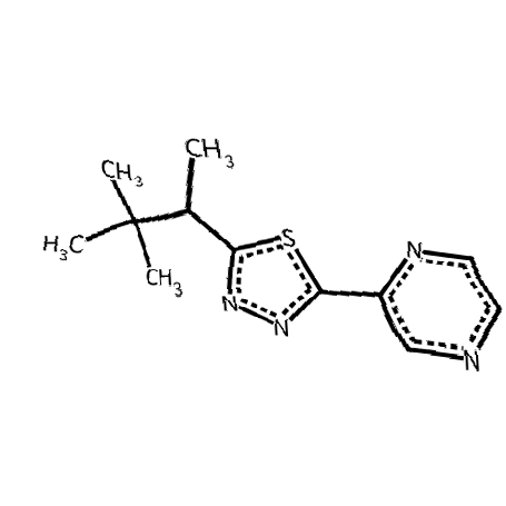 CC(c1nnc(-c2cnccn2)s1)C(C)(C)C